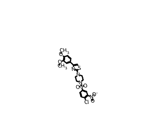 COc1ccc(-c2csc(N3CCN(S(=O)(=O)c4ccc(Cl)c([N+](=O)[O-])c4)CC3)n2)cc1OC